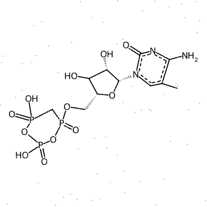 Cc1cn([C@@H]2O[C@H](COP3(=O)CP(=O)(O)OP(=O)(O)O3)C(O)[C@@H]2O)c(=O)nc1N